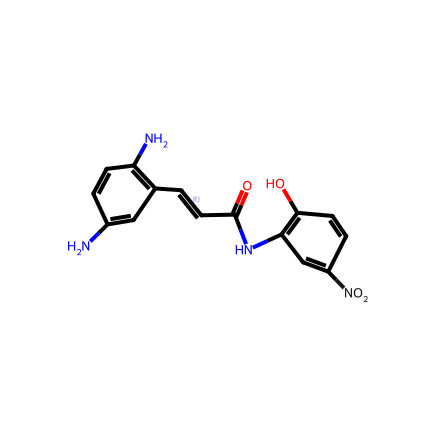 Nc1ccc(N)c(/C=C/C(=O)Nc2cc([N+](=O)[O-])ccc2O)c1